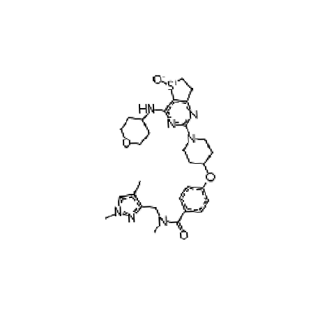 Cc1cn(C)nc1CN(C)C(=O)c1ccc(OC2CCN(c3nc4c(c(NC5CCOCC5)n3)[S+]([O-])CC4)CC2)cc1